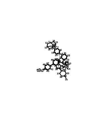 CC1=Cc2c(-c3ccc(C45CC6CC(CC(C6)C4)C5)cc3)cccc2[CH]1[Zr]([Cl])([Cl])([CH]1C(C2CCC(C)CC2)=Cc2c(-c3ccc(C(C)(C)C)cc3)cccc21)[SiH](C)C